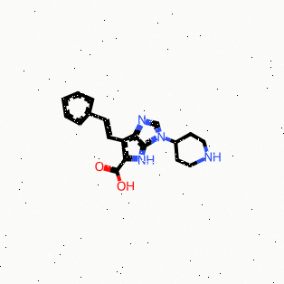 O=C(O)c1[nH]c2c(ncn2C2CCNCC2)c1C=Cc1ccccc1